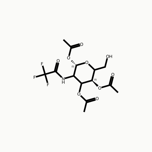 CC(=O)OC1C(NC(=O)C(F)(F)F)[C@H](OC(C)=O)OC(CO)[C@H]1OC(C)=O